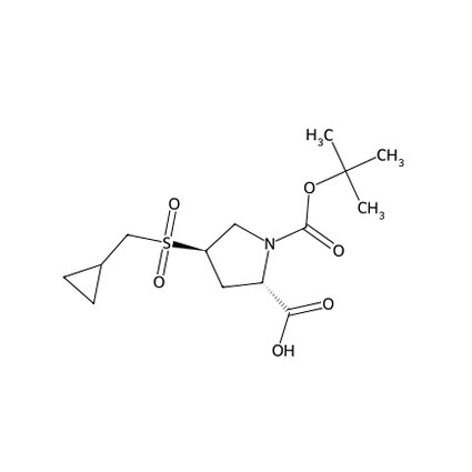 CC(C)(C)OC(=O)N1C[C@H](S(=O)(=O)CC2CC2)C[C@H]1C(=O)O